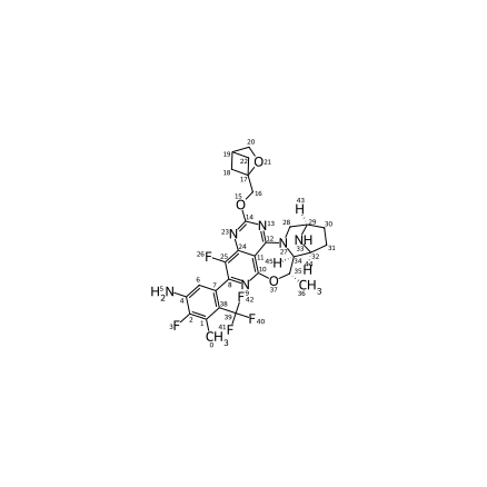 Cc1c(F)c(N)cc(-c2nc3c4c(nc(OCC56CC(CO5)C6)nc4c2F)N2C[C@H]4CC[C@H](N4)[C@H]2[C@H](C)O3)c1C(F)(F)F